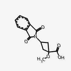 COC1(C(=O)O)CC(N2C(=O)c3ccccc3C2=O)C1